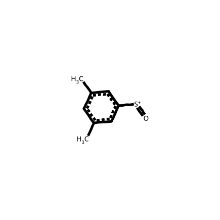 Cc1cc(C)cc([S+]=O)c1